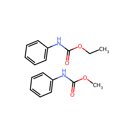 CCOC(=O)Nc1ccccc1.COC(=O)Nc1ccccc1